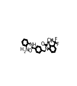 Cn1c(=O)n(Cc2ccc(C(=O)Nc3ccccc3N)cc2)c2cccc(C(F)(F)F)c21